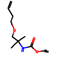 C=CCCOCC(C)(C)NC(=O)OC(C)(C)C